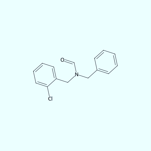 O=CN(Cc1ccccc1)Cc1ccccc1Cl